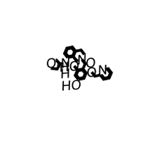 O=C(c1c(O)cc(O)cc1OCc1ccccn1)N1CCc2cccc(N[C@H]3CCOC3)c2C1